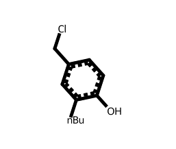 CCCCc1cc(CCl)ccc1O